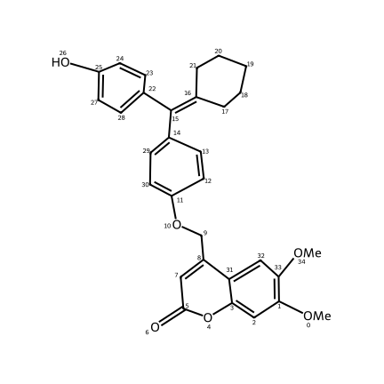 COc1cc2oc(=O)cc(COc3ccc(C(=C4CCCCC4)c4ccc(O)cc4)cc3)c2cc1OC